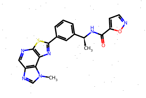 C[C@H](NC(=O)c1ccno1)c1cccc(-c2nc3c(ncc4ncn(C)c43)s2)c1